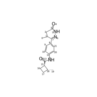 CC1CC(=O)NN=C1c1ccc(NC(=O)[C@@H]2CC[C@H]2C)cc1